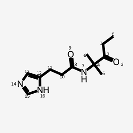 CCC(=O)C(C)(C)NC(=O)CCc1cnc[nH]1